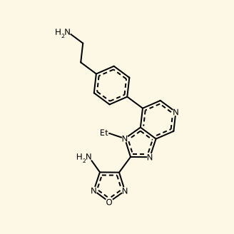 CCn1c(-c2nonc2N)nc2cncc(-c3ccc(CCN)cc3)c21